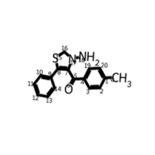 Cc1ccc(C(=O)C2=C(c3ccccc3)SCN2N)cc1